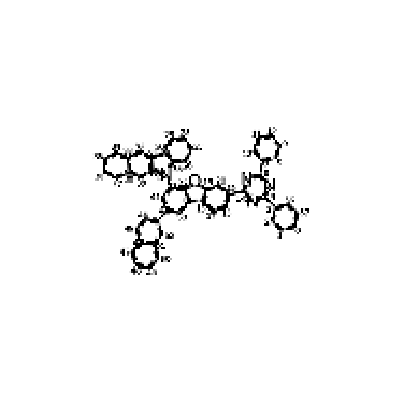 c1ccc(-c2nc(-c3ccccc3)nc(-c3ccc4c(c3)oc3c(-n5c6ccccc6c6cc7ccccc7cc65)cc(-c5ccc6ccccc6c5)cc34)n2)cc1